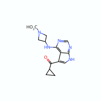 O=C(c1c[nH]c2ncnc(NC3CN(C(=O)O)C3)c12)C1CC1